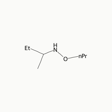 CCCONC(C)CC